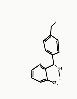 FCc1ccc([C@H](NCl)c2ncccc2C(F)(F)F)cc1